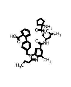 CCCc1nc2c(C)cc(C(=O)N[C@@H](CSC(=O)C3(N)CCCC3)CC(C)C)cc2n1Cc1ccc(-c2ccccc2C(=O)O)cc1